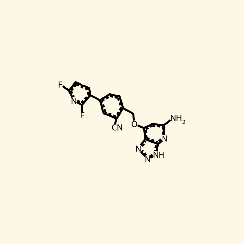 N#Cc1cc(-c2ccc(F)nc2F)ccc1COc1cc(N)nc2[nH]nnc12